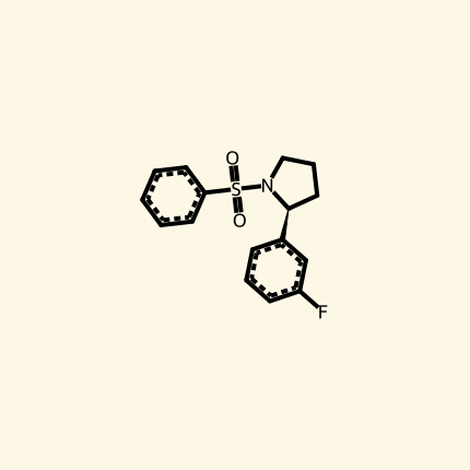 O=S(=O)(c1ccccc1)N1CCC[C@H]1c1cccc(F)c1